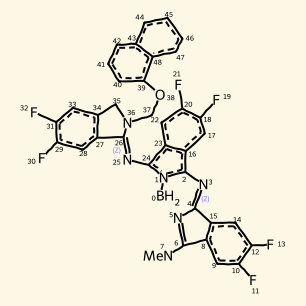 Bn1c(/N=C2\N=C(NC)c3cc(F)c(F)cc32)c2cc(F)c(F)cc2c1/N=C1/c2cc(F)c(F)cc2CN1COc1cccc2ccccc12